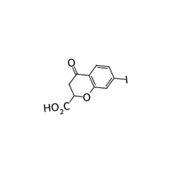 O=C1CC(C(=O)O)Oc2cc(I)ccc21